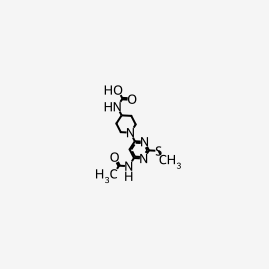 CSc1nc(NC(C)=O)cc(N2CCC(NC(=O)O)CC2)n1